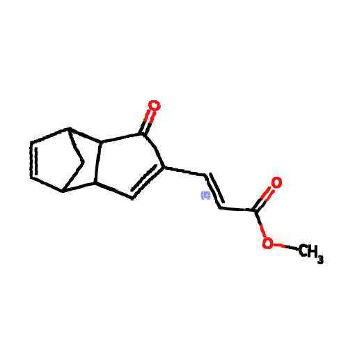 COC(=O)/C=C/C1=CC2C3C=CC(C3)C2C1=O